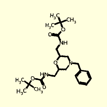 CC(C)(C)OC(=O)NCC1CN(Cc2ccccc2)CC(CNC(=O)OC(C)(C)C)O1